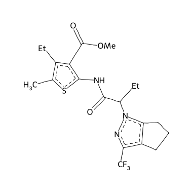 CCc1c(C)sc(NC(=O)C(CC)n2nc(C(F)(F)F)c3c2CCC3)c1C(=O)OC